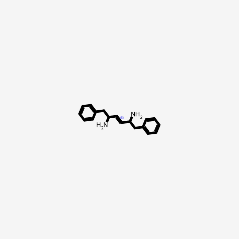 NC(/C=C/C(N)Cc1ccccc1)Cc1ccccc1